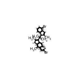 CC1=Cc2c(Br)cccc2C1C(C)(C)C1=C(C)Cc2c1cc1sc(Br)cc1c2C